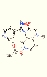 CCN(Cc1nc(-c2ccncc2)no1)C1CCN(OC(=O)C(C)(C)C)CC1